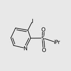 CC(C)S(=O)(=O)c1ncccc1I